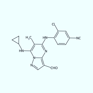 [C-]#[N+]c1ccc(Nc2nc3c(C=O)cnn3c(NC3CC3)c2C)c(Cl)c1